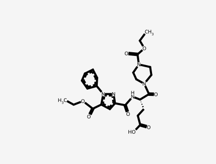 CCOC(=O)c1cc(C(=O)N[C@@H](CCC(=O)O)C(=O)N2CCN(C(=O)OCC)CC2)nn1-c1ccccc1